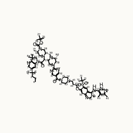 CCCC(F)(F)c1cnc2c(c1)N(C(=O)CN1C[C@@H](C)N(C(=O)OC(C)(C)C)C[C@@H]1CN1CCN(c3ncc(C(=O)N4CCN(CCCOc5cc6ncnc(Nc7[nH]nc(C)c7C)c6cc5S(=O)(=O)C(C)(C)C)CC4)cn3)C[C@H]1C)CC2(C)C